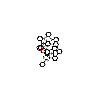 c1ccc(-c2nc(-c3ccccc3)nc(-c3cccc(-c4cccc(-c5cccc(-c6ccc7c8c6N(c6ccccc6)c6ccccc6B8c6ccccc6N7c6ccccc6)c5)c4)c3-n3c4ccccc4c4c5oc6ccccc6c5ccc43)n2)cc1